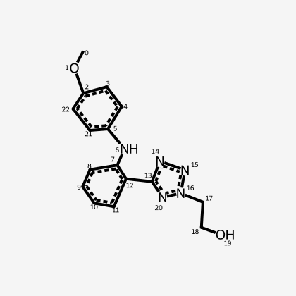 COc1ccc(Nc2ccccc2-c2nnn(CCO)n2)cc1